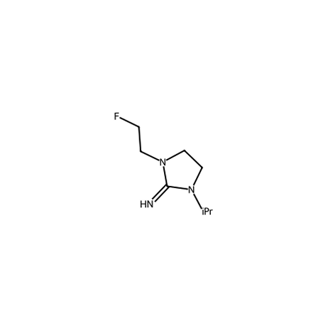 CC(C)N1CCN(CCF)C1=N